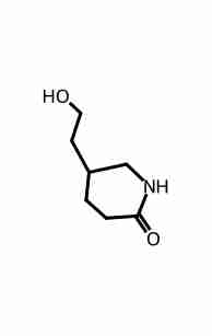 O=C1CCC(CCO)CN1